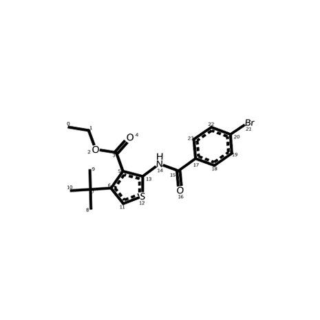 CCOC(=O)c1c(C(C)(C)C)csc1NC(=O)c1ccc(Br)cc1